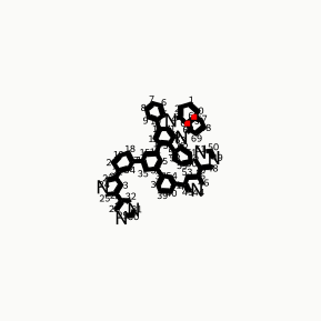 c1ccc(-n2c3ccccc3c3cc(-c4cc(-c5cccc(-c6cncc(-c7cncnc7)c6)c5)cc(-c5cccc(-c6cncc(-c7cncnc7)c6)c5)c4)c4c5ccccc5n(-c5ccccc5)c4c32)cc1